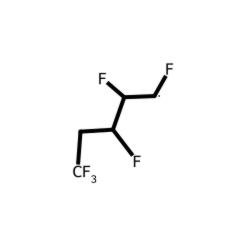 F[CH]C(F)C(F)CC(F)(F)F